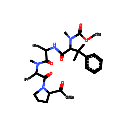 COC(=O)C1CCCN1C(=O)C(C(C)C)N(C)C(=O)C(NC(=O)C(N(C)C(=O)OC(C)(C)C)C(C)(C)c1ccccc1)C(C)(C)C